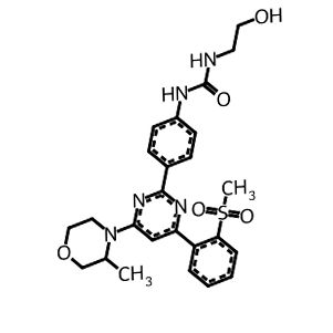 CC1COCCN1c1cc(-c2ccccc2S(C)(=O)=O)nc(-c2ccc(NC(=O)NCCO)cc2)n1